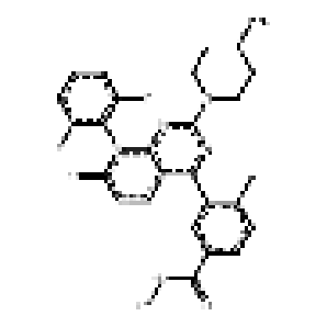 Cc1ccc(C(=O)NC(C)C)cc1-c1nc(N2CCC(N)CC2)nc2c1ccc(=O)n2-c1c(F)cccc1F